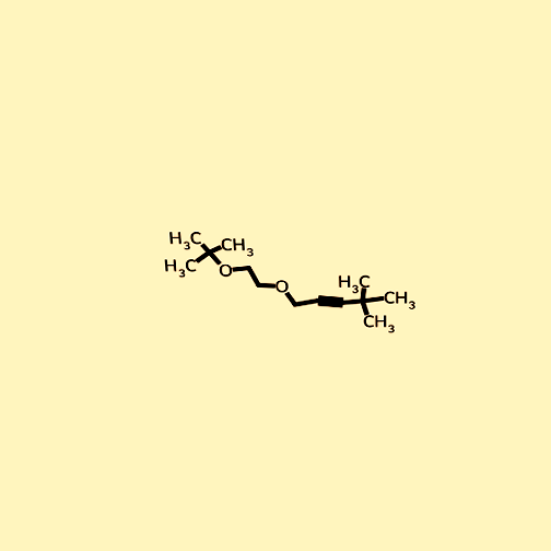 CC(C)(C)C#CCOCCOC(C)(C)C